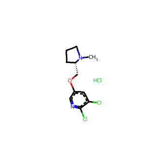 CN1CCC[C@H]1COc1cnc(Cl)c(Cl)c1.Cl